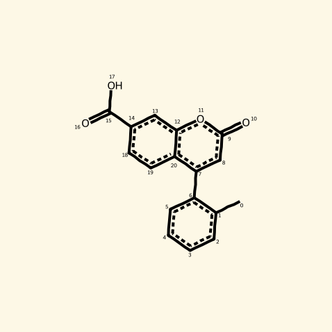 Cc1ccccc1-c1cc(=O)oc2cc(C(=O)O)ccc12